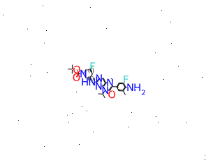 Cc1cc(-c2nc3cnc(N[C@H]4C[C@H](F)CN(C(=O)OC(C)(C)C)C4)nc3n(C(C)C)c2=O)cc(F)c1N